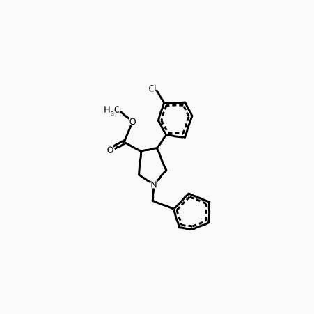 COC(=O)C1CN(Cc2ccccc2)CC1c1cccc(Cl)c1